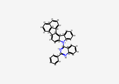 c1ccc(-c2nc(-n3c4ccccc4c4c5c(ccc43)-c3cccc4cccc-5c34)c3ccccc3n2)cc1